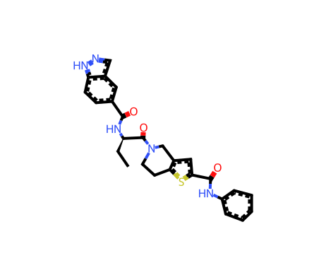 CC[C@@H](NC(=O)c1ccc2[nH]ncc2c1)C(=O)N1CCc2sc(C(=O)Nc3ccccc3)cc2C1